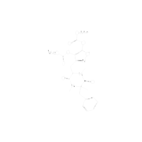 COC(=O)Oc1onc(CC2C(=O)N(C)C(C)(Cc3ccccc3)C(=O)N2C)c1OC(=O)OC